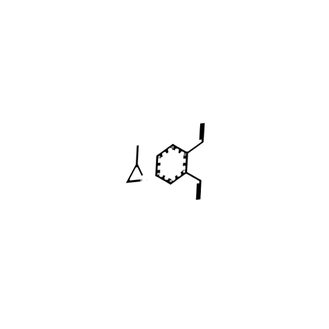 C=Cc1ccccc1C=C.CC1CO1